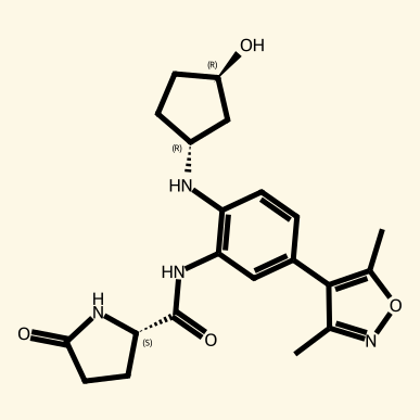 Cc1noc(C)c1-c1ccc(N[C@@H]2CC[C@@H](O)C2)c(NC(=O)[C@@H]2CCC(=O)N2)c1